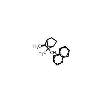 C=C1C2CCC(C2)C1(C)C.c1ccc2ccccc2c1